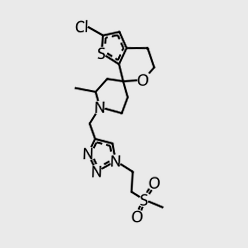 CC1CC2(CCN1Cc1cn(CCS(C)(=O)=O)nn1)OCCc1cc(Cl)sc12